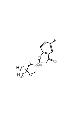 CC1(C)OC[C@@H]([C@H]2CC(=O)c3cc(F)ccc3O2)O1